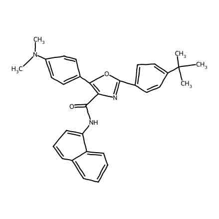 CN(C)c1ccc(-c2oc(-c3ccc(C(C)(C)C)cc3)nc2C(=O)Nc2cccc3ccccc23)cc1